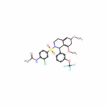 COC1=C2C(=CC(OC)C1)CCN(S(=O)(=O)c1ccc(NC(C)=O)c(Cl)c1)C2c1cccc(OC(F)(F)F)c1